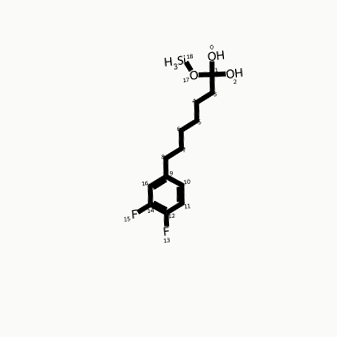 OC(O)(CCCCCCc1ccc(F)c(F)c1)O[SiH3]